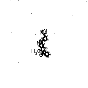 CC(c1ccc2c(c1)ncn2-c1cccc(-c2cnccn2)c1)N1C(=O)c2ccccc2C1=O